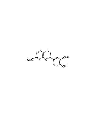 COc1ccc2c(c1)OC(c1ccc(O)c(OC)c1)CC2